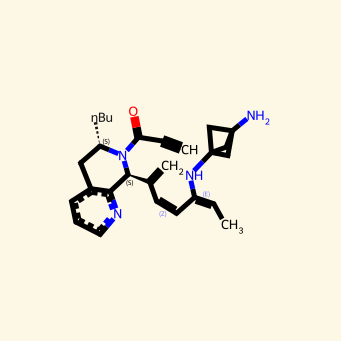 C#CC(=O)N1[C@@H](CCCC)Cc2cccnc2[C@@H]1C(=C)/C=C\C(=C/C)NC12CC(N)(C1)C2